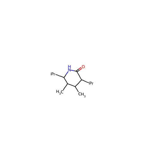 CC(C)C1NC(=O)C(C(C)C)C(C)C1C